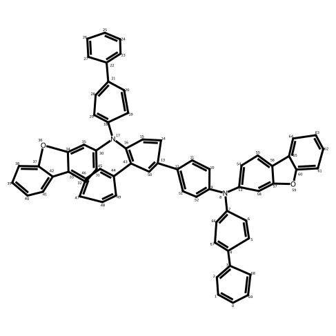 c1ccc(-c2ccc(N(c3ccc(-c4ccc(N(c5ccc(-c6ccccc6)cc5)c5ccc6c(c5)oc5ccccc56)c(-c5ccccc5)c4)cc3)c3ccc4c(c3)oc3ccccc34)cc2)cc1